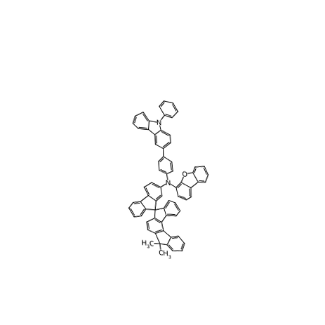 CC1(C)c2ccccc2-c2c1ccc1c2-c2ccccc2C12c1ccccc1-c1ccc(N(c3ccc(-c4ccc5c(c4)c4ccccc4n5-c4ccccc4)cc3)c3cccc4c3oc3ccccc34)cc12